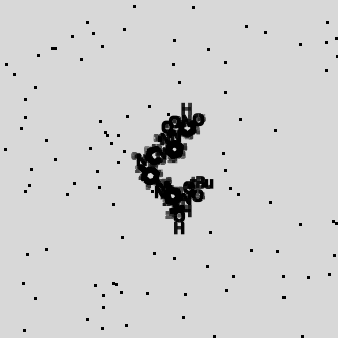 CN(CC1CCC(n2cc3cc(NC(=O)OC(C)(C)C)c(C(C)(C)O)cc3n2)CC1)C1CCN(c2cccc3c2n(C)c(=O)n3C2CCC(=O)NC2=O)CC1